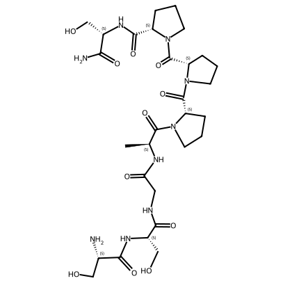 C[C@H](NC(=O)CNC(=O)[C@H](CO)NC(=O)[C@@H](N)CO)C(=O)N1CCC[C@H]1C(=O)N1CCC[C@H]1C(=O)N1CCC[C@H]1C(=O)N[C@@H](CO)C(N)=O